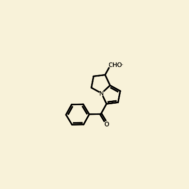 O=[C]C1CCn2c(C(=O)c3ccccc3)ccc21